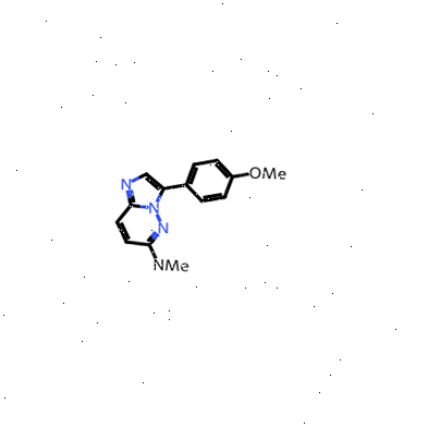 CNc1ccc2ncc(-c3ccc(OC)cc3)n2n1